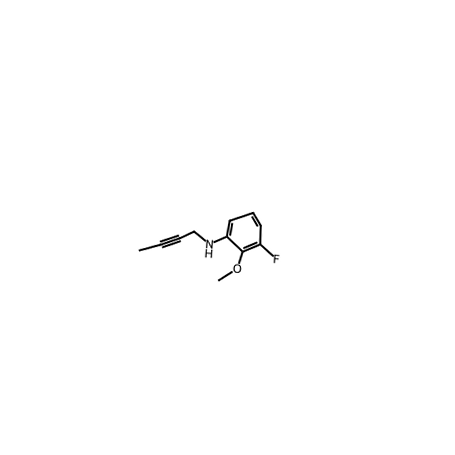 CC#CCNc1cccc(F)c1OC